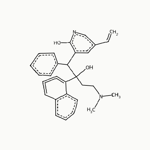 C=Cc1cnc(O)c(C(c2ccccc2)C(O)(CCN(C)C)C2=C=C=Cc3ccccc32)c1